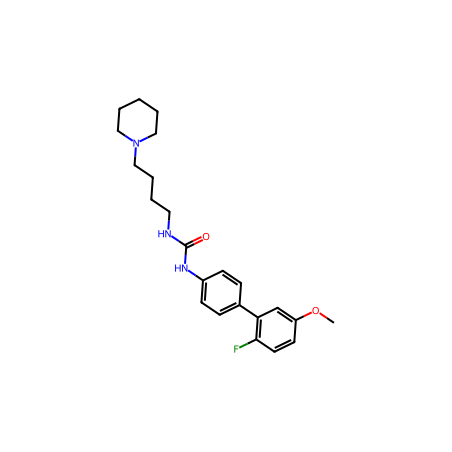 COc1ccc(F)c(-c2ccc(NC(=O)NCCCCN3CCCCC3)cc2)c1